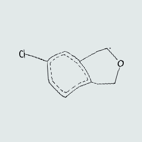 Clc1ccc2c(c1)[CH]OC2